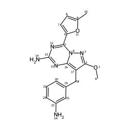 COc1nn2c(-c3ccc(C)o3)nc(N)nc2c1Cc1cccc(N)c1